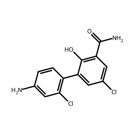 NC(=O)c1cc(Cl)cc(-c2ccc(N)cc2Cl)c1O